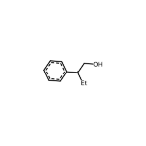 CC[C](CO)c1ccccc1